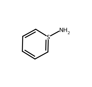 NS1=CC=CC=C1